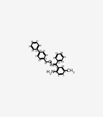 Cc1ccc(N)c(/C(=N/OCc2ccc(-c3ccccc3)cc2)c2ccccc2)c1